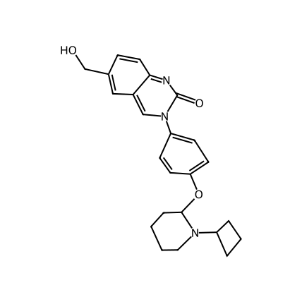 O=c1nc2ccc(CO)cc2cn1-c1ccc(OC2CCCCN2C2CCC2)cc1